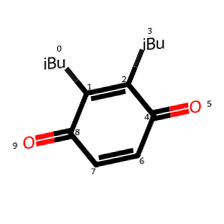 CCC(C)C1=C(C(C)CC)C(=O)C=CC1=O